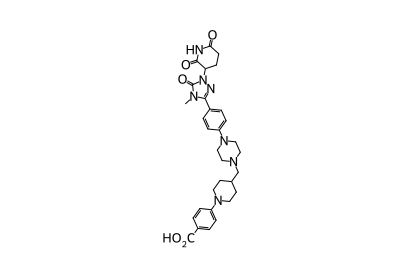 Cn1c(-c2ccc(N3CCN(CC4CCN(c5ccc(C(=O)O)cc5)CC4)CC3)cc2)nn(C2CCC(=O)NC2=O)c1=O